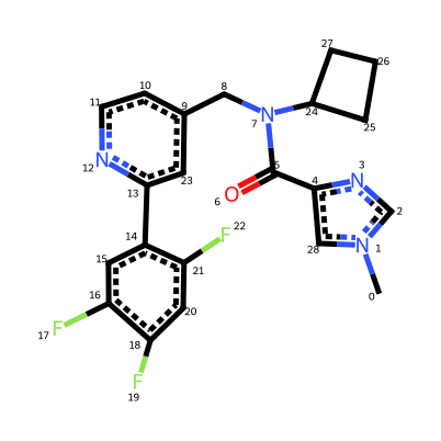 Cn1cnc(C(=O)N(Cc2ccnc(-c3cc(F)c(F)cc3F)c2)C2CCC2)c1